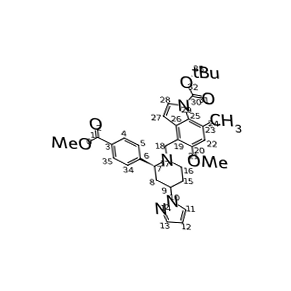 COC(=O)c1ccc([C@@H]2CC(n3cccn3)CCN2Cc2c(OC)cc(C)c3c2ccn3C(=O)OC(C)(C)C)cc1